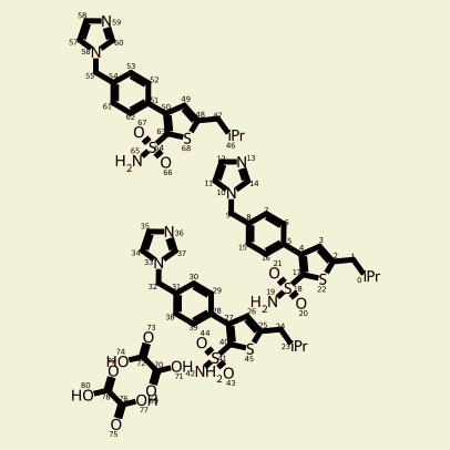 CC(C)Cc1cc(-c2ccc(Cn3ccnc3)cc2)c(S(N)(=O)=O)s1.CC(C)Cc1cc(-c2ccc(Cn3ccnc3)cc2)c(S(N)(=O)=O)s1.CC(C)Cc1cc(-c2ccc(Cn3ccnc3)cc2)c(S(N)(=O)=O)s1.O=C(O)C(=O)O.O=C(O)C(=O)O